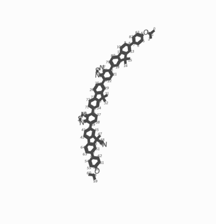 CC(C)Oc1ccc(-c2ccc3c(c2)C(C)(C)c2cc(-c4ccc(-c5ccc6c(c5)C(C)(C)c5cc(-c7ccc(-c8ccc9c(c8)C(C)(C#N)c8cc(-c%10ccc(OC(C)C)cc%10)ccc8-9)c8nsnc78)ccc5-6)c5nsnc45)ccc2-3)cc1